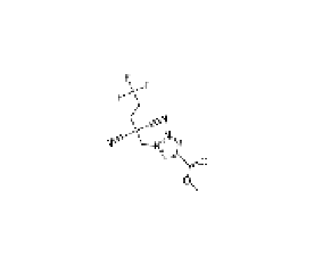 COC(=O)c1cnn(CC(C#N)(C#N)CCC(F)(F)F)c1